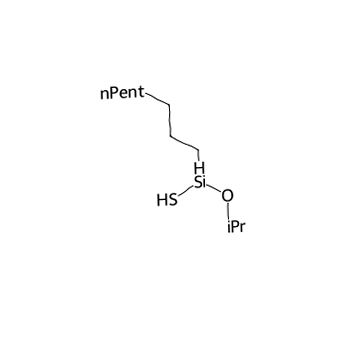 CCCCCCCC[SiH](S)OC(C)C